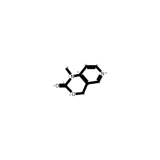 CN1C(=O)OCc2cnccc21